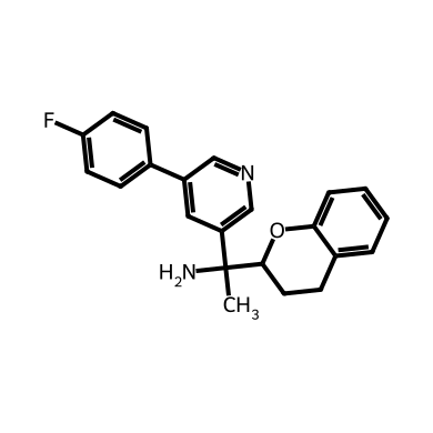 CC(N)(c1cncc(-c2ccc(F)cc2)c1)C1CCc2ccccc2O1